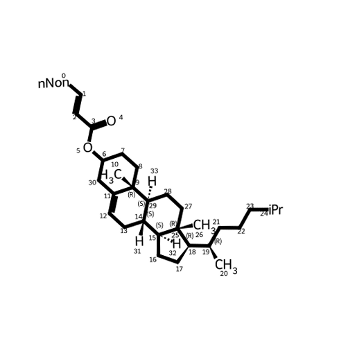 CCCCCCCCCC=CC(=O)OC1CC[C@@]2(C)C(=CC[C@H]3[C@@H]4CC[C@H]([C@H](C)CCCC(C)C)[C@@]4(C)CC[C@@H]32)C1